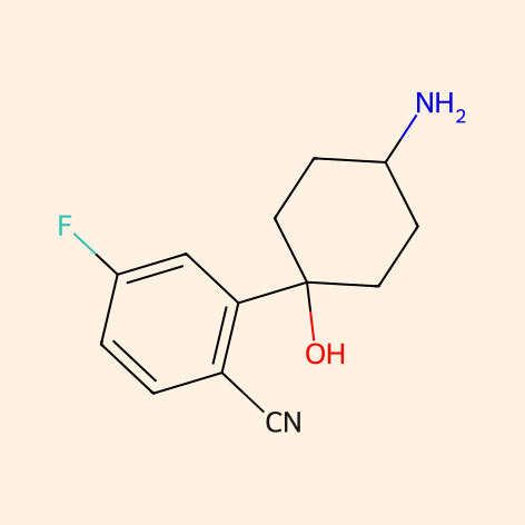 N#Cc1ccc(F)cc1C1(O)CCC(N)CC1